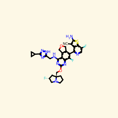 N#Cc1c(N)sc2c(F)cnc(-c3c4c(c5c(NCc6nc(C7CC7)n[nH]6)nc(OC[C@@]67CCCN6C[C@H](F)C7)nc5c3F)COC4)c12